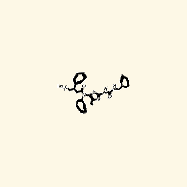 Cc1nc(NC(=O)NCc2ccccc2)sc1N(C(=O)CC(CC(=O)O)c1ccccc1)c1ccccc1